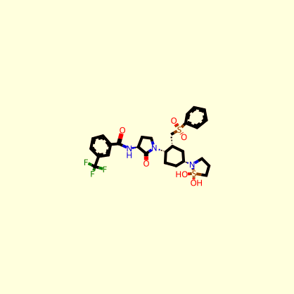 O=C(N[C@H]1CCN([C@H]2CC[C@@H](N3CCCS3(O)O)C[C@H]2CS(=O)(=O)c2ccccc2)C1=O)c1cccc(C(F)(F)F)c1